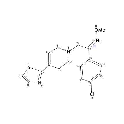 CO/N=C(\CN1CC=C(c2nccs2)CC1)c1ccc(Cl)cc1